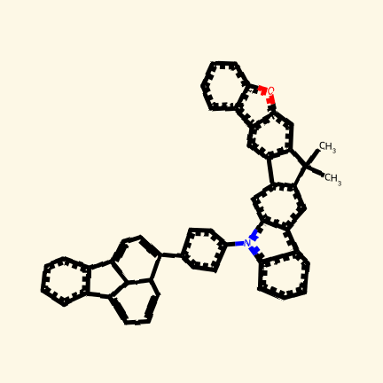 CC1(C)c2cc3oc4ccccc4c3cc2-c2cc3c(cc21)c1ccccc1n3-c1ccc(C2=CC=C3c4ccccc4C4=CC=CC2C43)cc1